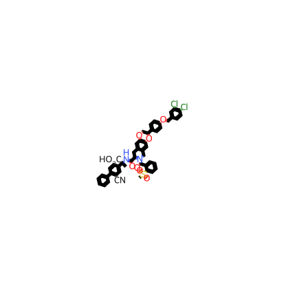 CC(NC(=O)C1Cc2cc3c(cc2CN1C(=O)c1ccccc1S(C)(=O)=O)OC(c1ccc(OCc2ccc(Cl)c(Cl)c2)cc1)CO3)(C(=O)O)c1ccc(-c2ccccc2)c(C#N)c1